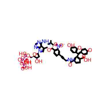 CC(C)C[C@@H](OCc1cn([C@H]2C[C@@H](O)[C@@H](COP(=O)(O)OP(=O)(O)OP(=O)(O)O)O2)c2ncnc(N)c12)c1ccc(C#CCNC(=O)c2ccc(C(=O)O)c(-c3c4ccc(=O)cc-4oc4cc(O)ccc34)c2)cc1[N+](=O)[O-]